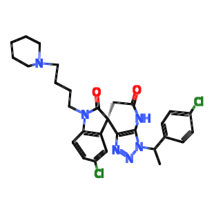 CC(c1ccc(Cl)cc1)n1nnc2c1NC(=O)C[C@]21C(=O)N(CCCCN2CCCCC2)c2ccc(Cl)cc21